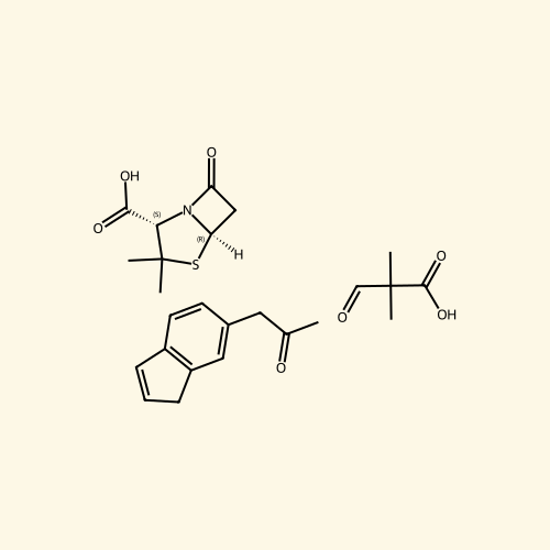 CC(=O)Cc1ccc2c(c1)CC=C2.CC(C)(C=O)C(=O)O.CC1(C)S[C@@H]2CC(=O)N2[C@H]1C(=O)O